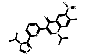 Cc1cc2c(cc1[N+](=O)[O-])c(=O)c(-c1cccc(-c3nncn3C(C)C)n1)cn2C(C)C